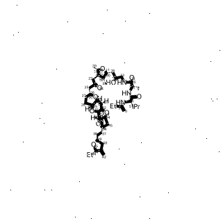 C=C(CC)N[C@H](C(=O)N[C@@H](C)C(=O)NC[C@@H](O)C[C@H]1O[C@@H](C)[C@H](CC(=O)C[C@H]2CC[C@@H]3OC4C5OC6C[C@@](CC[C@H]7CC(=C)[C@H](CC)O7)(O[C@@H]64)O[C@H]5[C@H]3O2)[C@H]1C)C(C)C